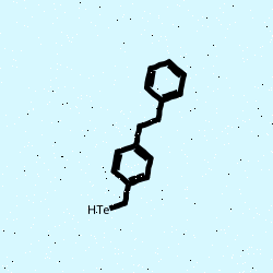 [TeH]Cc1ccc(CCc2cc[c]cc2)cc1